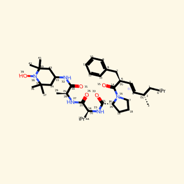 CC(C)C[C@H](C)/C=C/[C@H](Cc1ccccc1)C(=O)N1CCC[C@@H]1C(=O)N[C@H](C(=O)N[C@@H](C)C(=O)NC1CC(C)(C)N(O)C(C)(C)C1)C(C)C